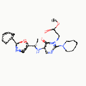 C[C@@H](Nc1cnc(N2CCCCC2)n(CC(=O)OC(C)(C)C)c1=O)c1cnc(-c2ccccc2)o1